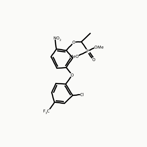 COP(=O)(OC)C(C)Oc1cc(Oc2ccc(C(F)(F)F)cc2Cl)ccc1[N+](=O)[O-]